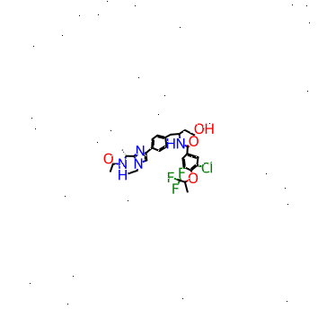 CCn1cc(-c2ccc(CC(CCO)NC(=O)c3ccc(OC(C)C(F)(F)F)c(Cl)c3)cc2)nc1[C@@H](C)NC(C)=O